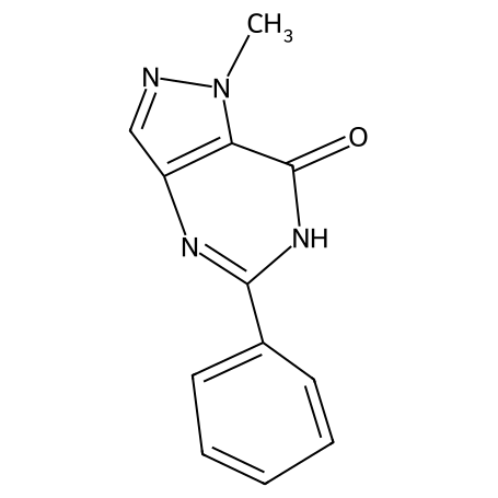 Cn1ncc2nc(-c3ccccc3)[nH]c(=O)c21